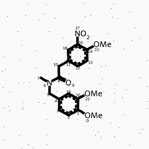 COc1ccc(CN(C)C(=O)Cc2ccc(OC)c([N+](=O)[O-])c2)cc1OC